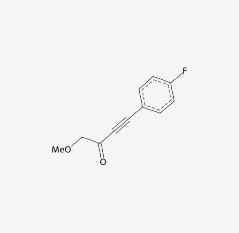 COCC(=O)C#Cc1ccc(F)cc1